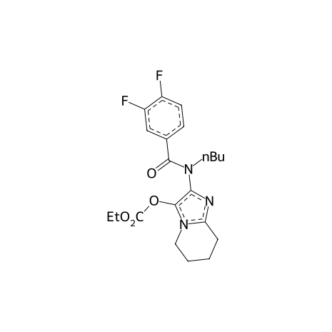 CCCCN(C(=O)c1ccc(F)c(F)c1)c1nc2n(c1OC(=O)OCC)CCCC2